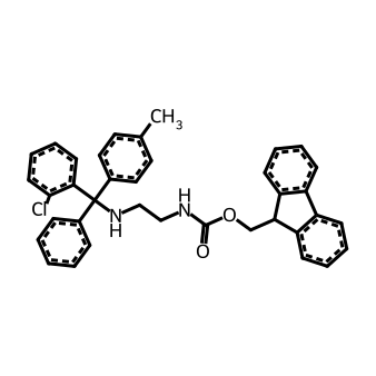 Cc1ccc(C(NCCNC(=O)OCC2c3ccccc3-c3ccccc32)(c2ccccc2)c2ccccc2Cl)cc1